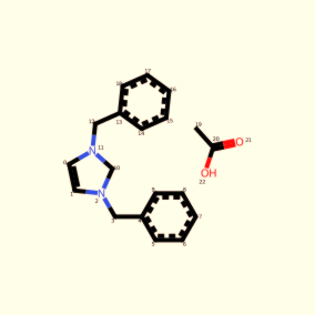 C1=CN(Cc2ccccc2)CN1Cc1ccccc1.CC(=O)O